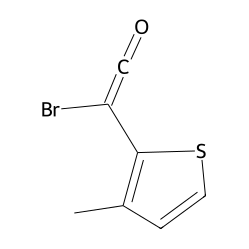 Cc1ccsc1C(Br)=C=O